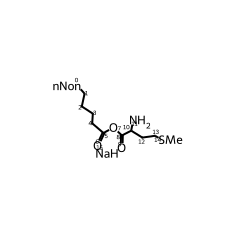 CCCCCCCCCCCCCC(=O)OC(=O)C(N)CCSC.[NaH]